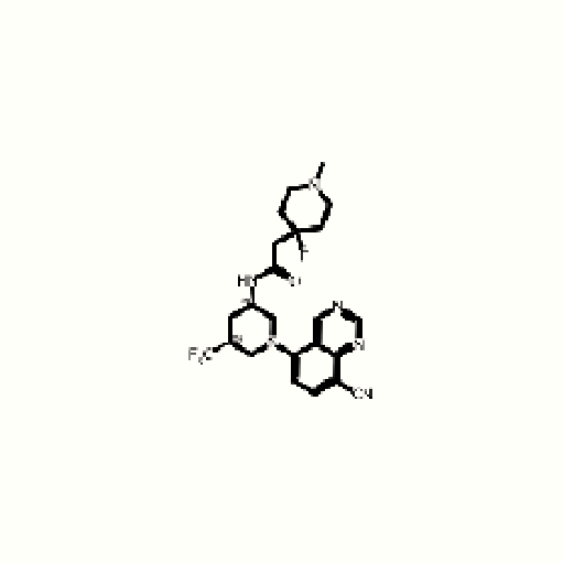 CN1CCC(F)(CC(=O)N[C@@H]2C[C@H](C(F)(F)F)CN(c3ccc(C#N)c4ncncc34)C2)CC1